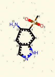 CS(=O)(=O)c1cc2[nH]ncc2cc1N